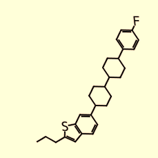 CCCc1cc2ccc(C3CCC(C4CCC(c5ccc(F)cc5)CC4)CC3)cc2s1